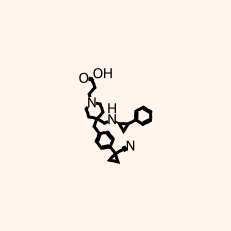 N#CC1(c2ccc(CC3(CN[C@@H]4CC4c4ccccc4)CCN(CCC(=O)O)CC3)cc2)CC1